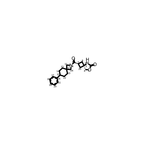 O=C1N[C@]2(CO1)C[C@H](C(=O)N1CC3(CCC(c4ccccc4)CC3)C1)C2